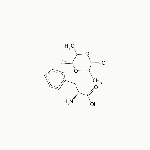 CC1OC(=O)C(C)OC1=O.N[C@@H](Cc1ccccc1)C(=O)O